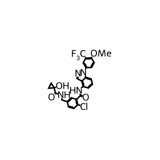 COc1ccc(-n2ncc3c(NC(=O)c4cc(CNC(=O)C5(O)CC5)ccc4Cl)cccc32)cc1C(F)(F)F